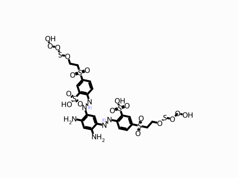 Nc1cc(N)c(/N=N/c2ccc(S(=O)(=O)CCOSOOO)cc2S(=O)(=O)O)cc1/N=N/c1ccc(S(=O)(=O)CCOSOOO)cc1S(=O)(=O)O